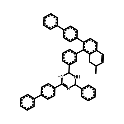 CC1C=Cc2ccc(-c3ccc(-c4ccccc4)cc3)c(-c3cccc(C4NC(c5ccc(-c6ccccc6)cc5)=NC(c5ccccc5)N4)c3)c2C1